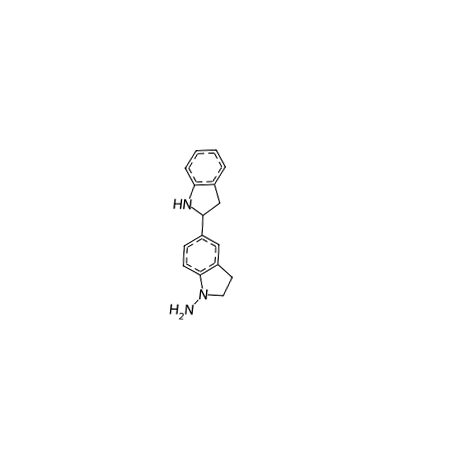 NN1CCc2cc(C3Cc4ccccc4N3)ccc21